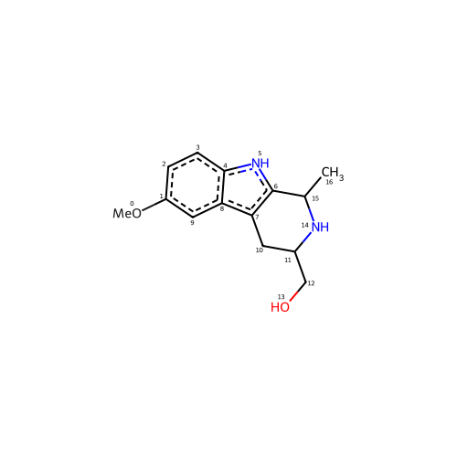 COc1ccc2[nH]c3c(c2c1)CC(CO)NC3C